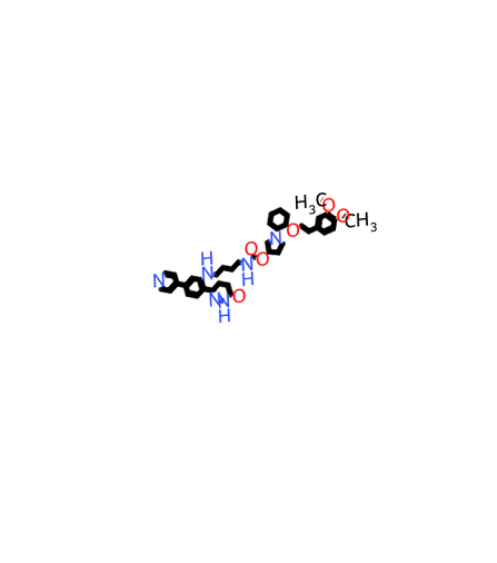 COc1ccc(CCO[C@@H]2CCCC[C@H]2N2CC[C@@H](OC(=O)NCCCCNc3cc(-c4ccncc4)ccc3C3=NNC(=O)CC3)C2)cc1OC